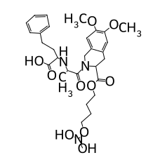 COc1cc2c(cc1OC)CN(C(=O)C(C)NC(CCc1ccccc1)C(=O)O)C(C(=O)OCCCCON(O)O)C2